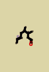 C/C=C/CC(C)C(C)CC=O